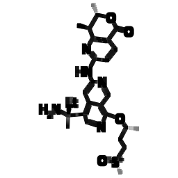 CC[C@@](C)(N)c1cnc(O[C@H](C)CC[S@+](C)[O-])c2cnc(Nc3ccc4c(n3)[C@@H](C)[C@H](C)OC4=O)cc12